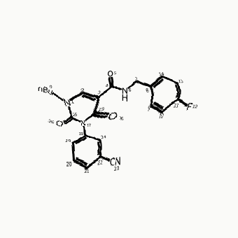 CCCCn1cc(C(=O)NCc2ccc(F)cc2)c(=O)n(-c2cccc(C#N)c2)c1=O